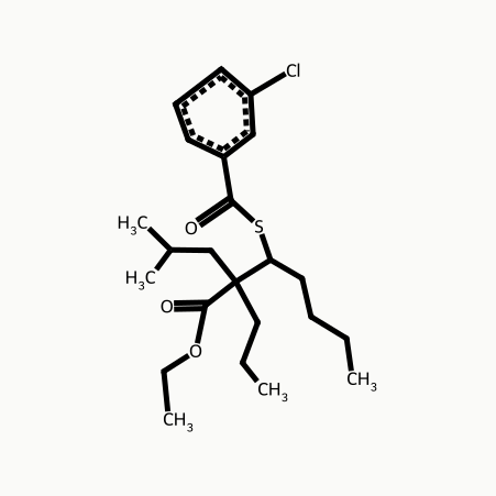 CCCCC(SC(=O)c1cccc(Cl)c1)C(CCC)(CC(C)C)C(=O)OCC